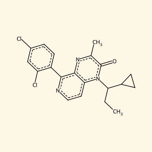 CCC(C1CC1)n1c(=O)c(C)nc2c(-c3ccc(Cl)cc3Cl)nccc21